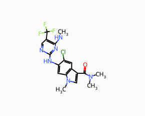 CNc1nc(Nc2cc3c(cc2Cl)c(C(=O)N(C)C)cn3C)ncc1C(F)(F)F